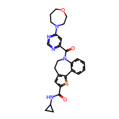 O=C(NC1CC1)c1cc2c(s1)-c1ccccc1N(C(=O)c1cc(N3CCCOCC3)ncn1)CC2